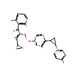 Cc1cc(OCc2c(-c3c(Cl)cccc3Cl)noc2C2CC2)ccc1C1CC1c1ccc(C(=O)O)cc1